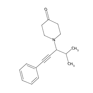 CC(C)C(C#Cc1ccccc1)N1CCC(=O)CC1